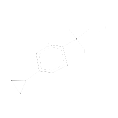 CCOC(=O)C(F)(F)c1ccc(C2CC2)cn1